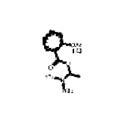 CCCCN(CCCC)C(C)OC(=O)c1ccccc1OC(C)=O.Cl